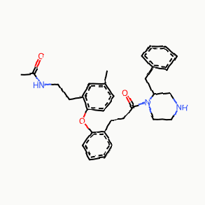 CC(=O)NCCc1cc(C)ccc1Oc1ccccc1CCC(=O)N1CCNCC1Cc1ccccc1